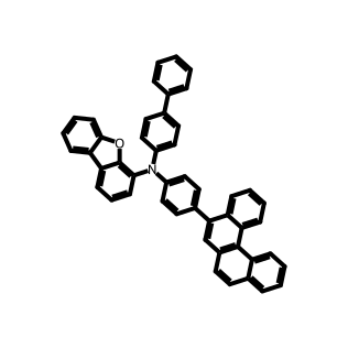 c1ccc(-c2ccc(N(c3ccc(-c4cc5ccc6ccccc6c5c5ccccc45)cc3)c3cccc4c3oc3ccccc34)cc2)cc1